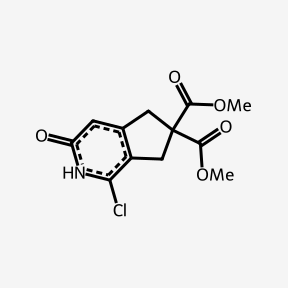 COC(=O)C1(C(=O)OC)Cc2cc(=O)[nH]c(Cl)c2C1